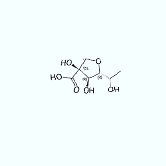 CC(O)[C@H]1O[CH][C@@](O)(C(=O)O)[C@@H]1O